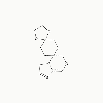 C1=NC2=COCC3(CCC4(CC3)OCCO4)N2C1